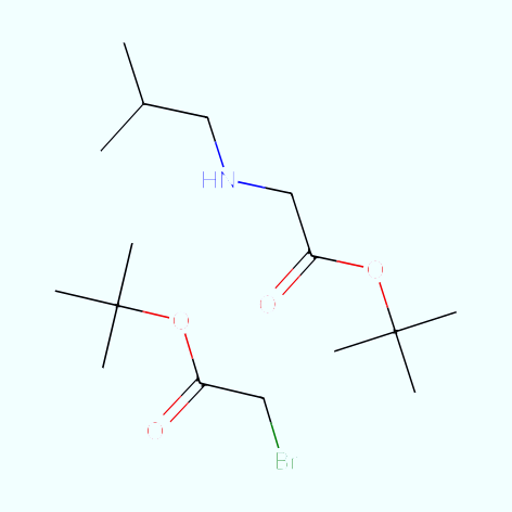 CC(C)(C)OC(=O)CBr.CC(C)CNCC(=O)OC(C)(C)C